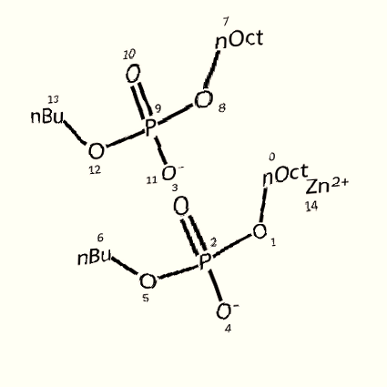 CCCCCCCCOP(=O)([O-])OCCCC.CCCCCCCCOP(=O)([O-])OCCCC.[Zn+2]